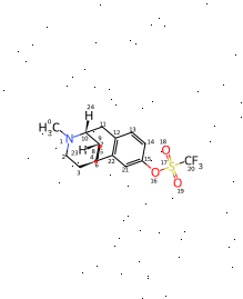 CN1CC[C@]23CCCC[C@H]2[C@H]1Cc1ccc(OS(=O)(=O)C(F)(F)F)cc13